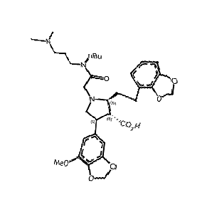 CCCCN(CCCN(C)C)C(=O)CN1C[C@H](c2cc(OC)c3c(c2)OCO3)[C@@H](C(=O)O)[C@@H]1CCc1cccc2c1OCO2